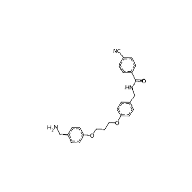 N#Cc1ccc(C(=O)NCc2ccc(OCCCOc3ccc(CN)cc3)cc2)cc1